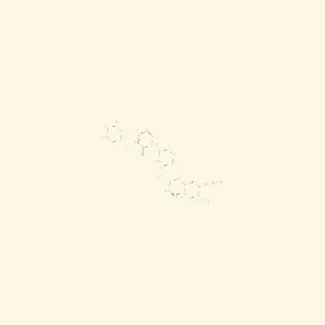 COc1cc2c(Oc3ccc(-c4cncn(Cc5ccccc5)c4=O)cc3F)ccnc2cc1O